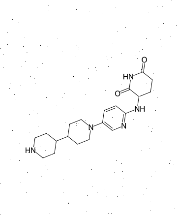 O=C1CCC(Nc2ccc(N3CCC(C4CCNCC4)CC3)cn2)C(=O)N1